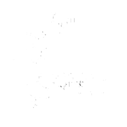 CCc1cc(C(=O)N2CCN(C)C(=O)C2)ccc1COc1ccc(C)cc1-c1csc(N2CC3CCC(C2)C3C(=O)O)n1